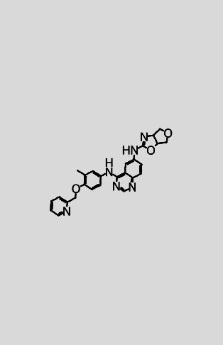 Cc1cc(Nc2ncnc3ccc(NC4=NC5COCC5O4)cc23)ccc1OCc1ccccn1